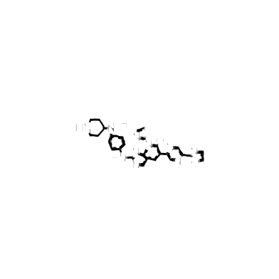 CN(c1ccc(Nc2ncc3cc(-c4cnc(-c5ncco5)cn4)c(=O)n(-c4nccs4)c3n2)cc1)C1CCNCC1